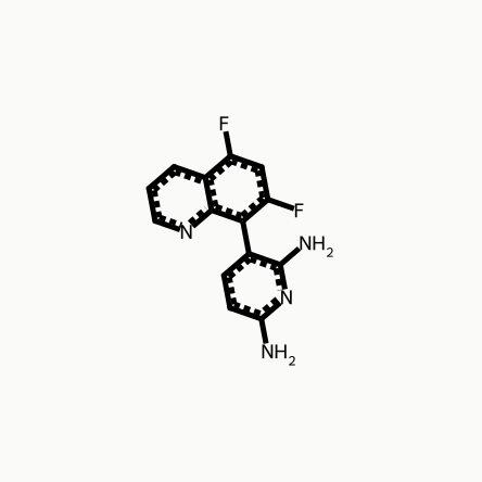 Nc1ccc(-c2c(F)cc(F)c3cccnc23)c(N)n1